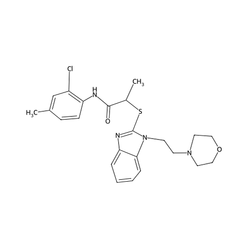 Cc1ccc(NC(=O)C(C)Sc2nc3ccccc3n2CCN2CCOCC2)c(Cl)c1